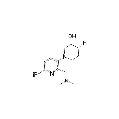 CC(C)c1ccc(N2CC[C@@H](F)[C@@H](O)C2)c(CN(C)C)n1